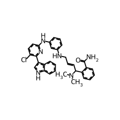 CN(C)C(/C=C/CNc1cccc(Nc2ccc(Cl)c(-c3c[nH]c4ccccc34)n2)c1)c1ccccc1C(N)=O